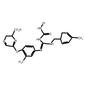 CCNC(=O)N/C(=N\c1ccc(OC2=NC(C(=O)O)CN=C2)c(C)c1)NCC1C=CC(C)=CC1